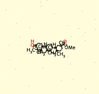 COC(=O)[C@@]1(C)CC[C@]2(C)CC[C@]3(C)C(=CC[C@@H]4[C@@]5(C)CC[C@H](O)C(C)(C)[C@@H]5CC[C@]43C)[C@@H]2C1